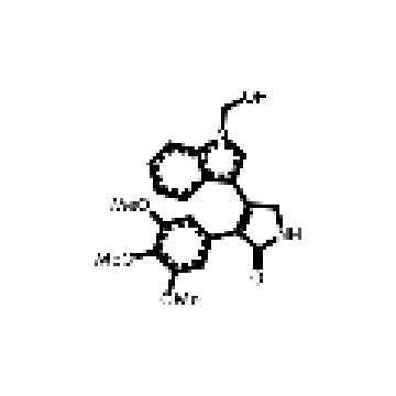 COc1cc(C2=C(c3cn(CO)c4ccccc34)CNC2=O)cc(OC)c1OC